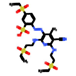 C=CS(=O)(=O)CCNc1nc(NCCS(=O)(=O)C=C)c(/N=N/c2ccc(S(=O)(=O)C=C)cc2S(=O)(=O)O)c(C)c1C#N